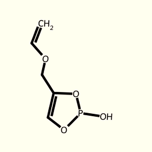 C=COCC1=COP(O)O1